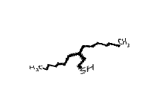 CCCCCCCC(CCS)CCCCCCC